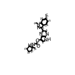 Cn1nc(-c2cnc3[nH]cc(OC(=O)NC4(C)CCCC4)c3n2)c2ccc(F)cc21